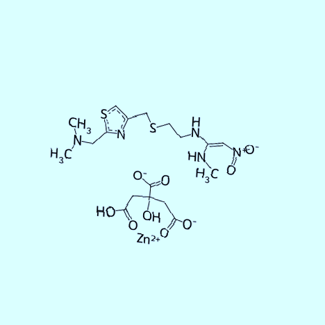 CN/C(=C\[N+](=O)[O-])NCCSCc1csc(CN(C)C)n1.O=C([O-])CC(O)(CC(=O)O)C(=O)[O-].[Zn+2]